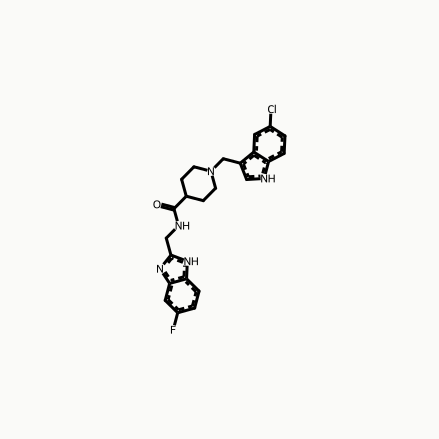 O=C(NCc1nc2cc(F)ccc2[nH]1)C1CCN(Cc2c[nH]c3ccc(Cl)cc23)CC1